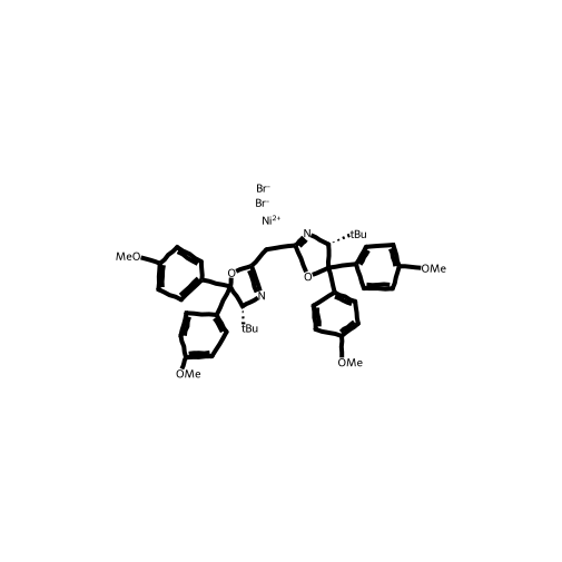 COc1ccc(C2(c3ccc(OC)cc3)OC(CC3=N[C@H](C(C)(C)C)C(c4ccc(OC)cc4)(c4ccc(OC)cc4)O3)=N[C@@H]2C(C)(C)C)cc1.[Br-].[Br-].[Ni+2]